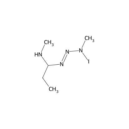 CCC(N=NN(C)I)NC